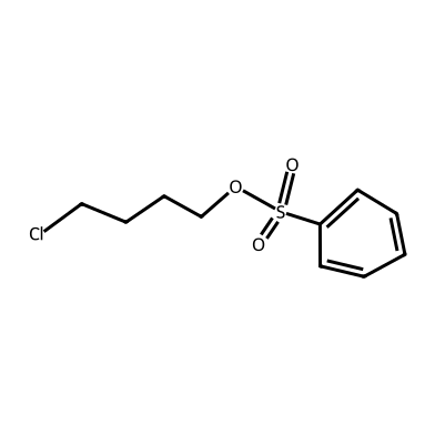 O=S(=O)(OCCCCCl)c1ccccc1